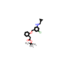 CC(C)(C)OC(=O)Cc1ccccc1OCc1cc(Cl)cc(NCC2CC2)c1